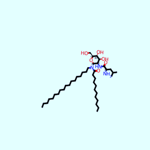 CCCCCCCCCCCCCCCCCCN(C(=O)CCCCCCCCCCC)[C@@H]1O[C@@H](CO)[C@H](O)[C@@H](O)[C@H]1NC(=O)[C@H](N)CC(C)C